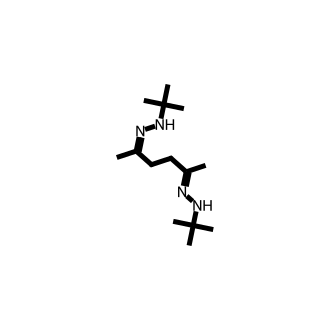 CC(CCC(C)=NNC(C)(C)C)=NNC(C)(C)C